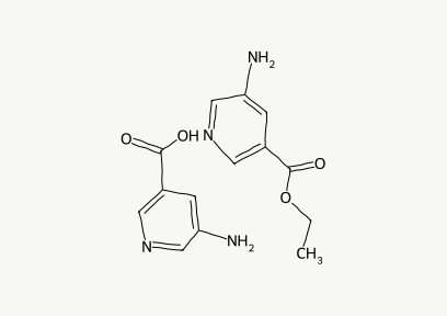 CCOC(=O)c1cncc(N)c1.Nc1cncc(C(=O)O)c1